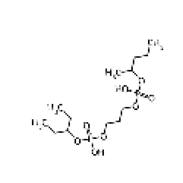 CCCC(C)OP(=O)(O)OCCCOP(=O)(O)OC(CC)CC